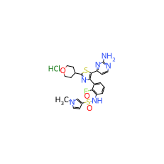 Cl.Cn1ccc(S(=O)(=O)Nc2cccc(-c3nc(C4CCOCC4)sc3-c3ccnc(N)n3)c2F)c1